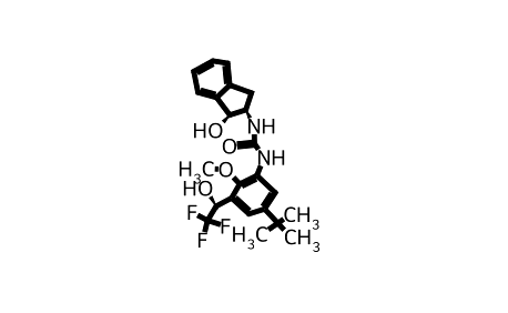 COc1c(NC(=O)N[C@@H]2Cc3ccccc3[C@@H]2O)cc(C(C)(C)C)cc1[C@H](O)C(F)(F)F